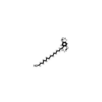 COc1ccc(OC)c(CCCCCCCCCCCCCCCO)c1